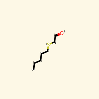 CCCCCSCC=O